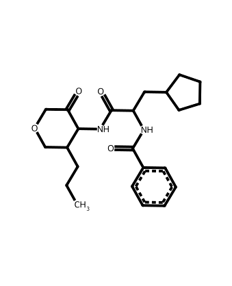 CCCC1COCC(=O)C1NC(=O)C(CC1CCCC1)NC(=O)c1ccccc1